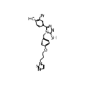 CC(C)c1cc(-c2nnc(S)n2Cc2ccc(OCCCn3ccnn3)cc2)ccc1O